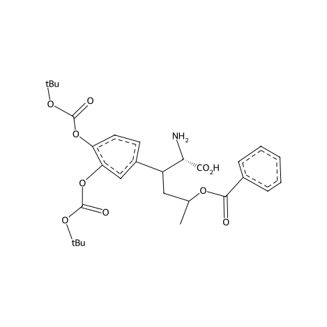 CC(CC(c1ccc(OC(=O)OC(C)(C)C)c(OC(=O)OC(C)(C)C)c1)[C@H](N)C(=O)O)OC(=O)c1ccccc1